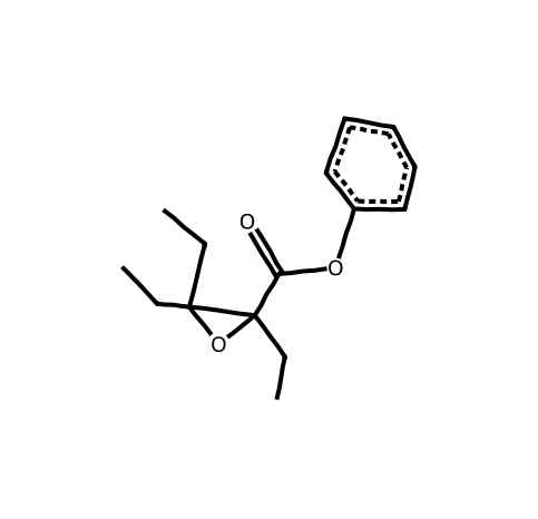 CCC1(CC)OC1(CC)C(=O)Oc1ccccc1